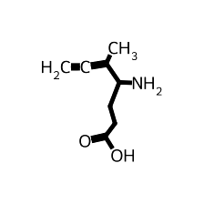 C=C=C(C)C(N)CCC(=O)O